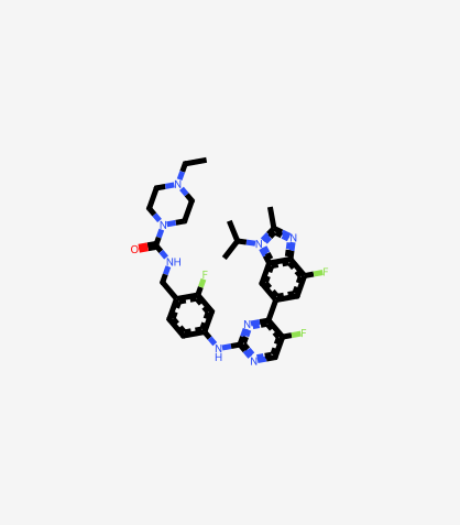 CCN1CCN(C(=O)NCc2ccc(Nc3ncc(F)c(-c4cc(F)c5nc(C)n(C(C)C)c5c4)n3)cc2F)CC1